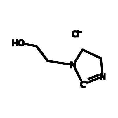 OCCN1[C+]=NCC1.[Cl-]